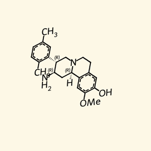 COc1cc2c(cc1O)CCN1C[C@@H](c3cc(C)ccc3C)[C@H](N)C[C@H]21